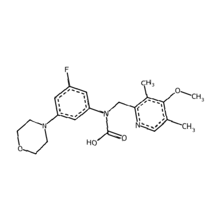 COc1c(C)cnc(CN(C(=O)O)c2cc(F)cc(N3CCOCC3)c2)c1C